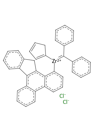 C1=CC[C]([Zr+2](=[C](c2ccccc2)c2ccccc2)[c]2cccc3c2c2c(c4ccccc43)-c3ccccc3C2)=C1.[Cl-].[Cl-]